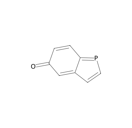 O=C1C=CC2=PC=CC2=C1